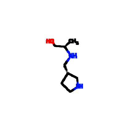 C[C@@H](CO)NC[C@H]1CCNC1